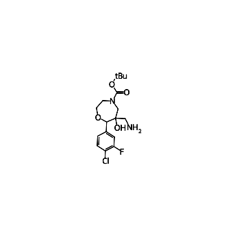 CC(C)(C)OC(=O)N1CCOC(c2ccc(Cl)c(F)c2)C(O)(CN)C1